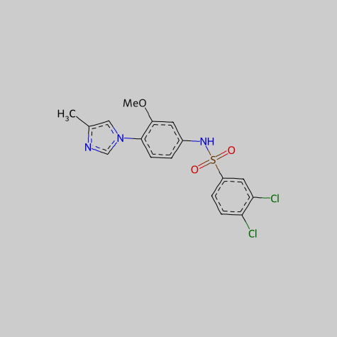 COc1cc(NS(=O)(=O)c2ccc(Cl)c(Cl)c2)ccc1-n1cnc(C)c1